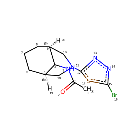 CC(=O)NC1[C@@H]2CCC[C@H]1CN(c1nnc(Br)s1)C2